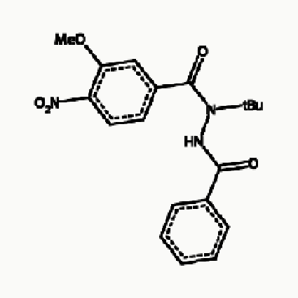 COc1cc(C(=O)N(NC(=O)c2ccccc2)C(C)(C)C)ccc1[N+](=O)[O-]